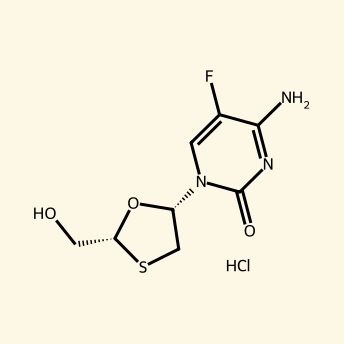 Cl.Nc1nc(=O)n([C@@H]2CS[C@H](CO)O2)cc1F